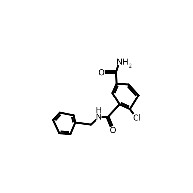 NC(=O)c1ccc(Cl)c(C(=O)NCc2ccccc2)c1